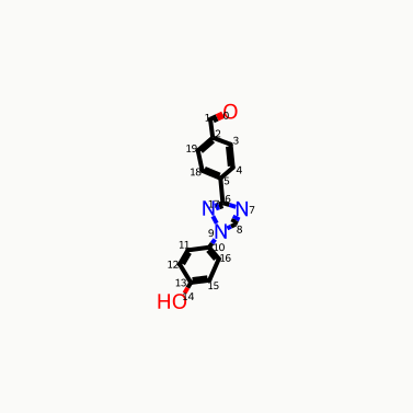 O=Cc1ccc(-c2ncn(-c3ccc(O)cc3)n2)cc1